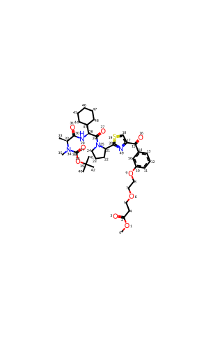 COC(=O)CCOCCOc1cccc(C(=O)c2csc(C3CCCN3C(=O)[C@@H](NC(=O)[C@H](C)N(C)C(=O)OC(C)(C)C)C3CCCCC3)n2)c1